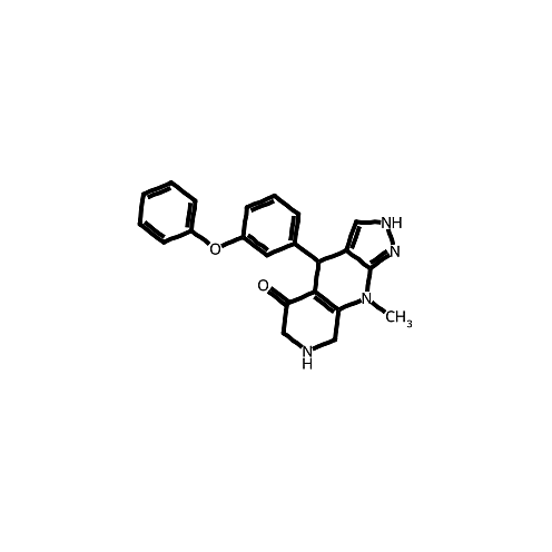 CN1C2=C(C(=O)CNC2)C(c2cccc(Oc3ccccc3)c2)c2c[nH]nc21